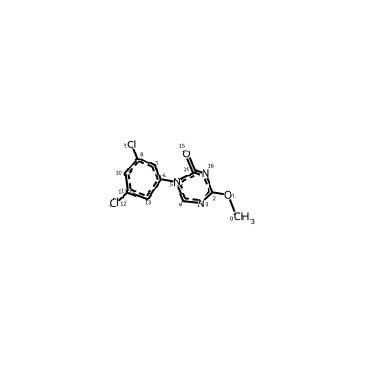 COc1ncn(-c2cc(Cl)cc(Cl)c2)c(=O)n1